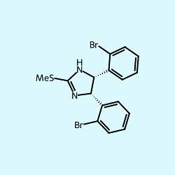 CSC1=N[C@@H](c2ccccc2Br)[C@@H](c2ccccc2Br)N1